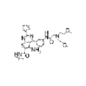 COCCN(CCOC)CC(=O)Nc1cccc(-c2nc(-c3cccs3)nc3sc(C(=O)NC(C)(C)C)c(N)c23)c1